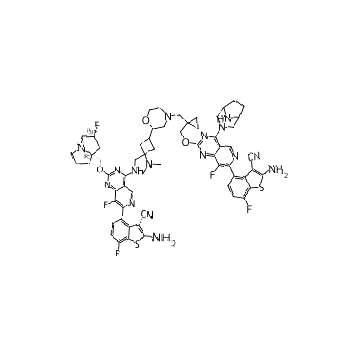 CN(C)C1(CNc2nc(OC[C@]34CCCN3C[C@@H](F)C4)nc3c(F)c(-c4ccc(F)c5sc(N)c(C#N)c45)ncc23)CC(C2CN(CC3(COc4nc(N5CC6CCC(C5)N6)c5cnc(-c6ccc(F)c7sc(N)c(C#N)c67)c(F)c5n4)CC3)CCO2)C1